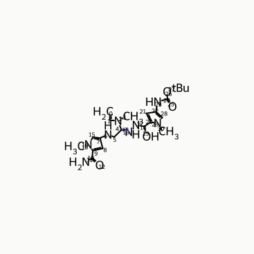 C=CN(C)/C(CNc1cc(C(N)=O)n(C)c1)=N\NC(O)c1cc(NC(=O)OC(C)(C)C)cn1C